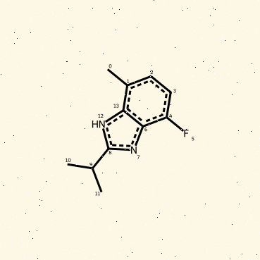 Cc1ccc(F)c2nc(C(C)C)[nH]c12